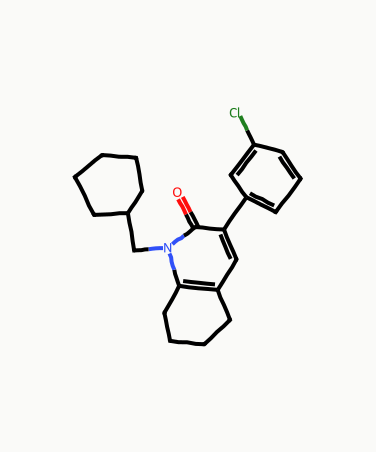 O=c1c(-c2cccc(Cl)c2)cc2c(n1CC1CCCCC1)CCCC2